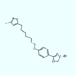 Cc1cc(CCCCCCCOc2ccc(C3=N[C@H](C(C)C)CO3)cc2)on1